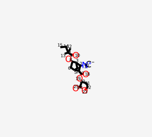 [C-]#[N+]C1C2CC(CC2OC(=O)C(C)(C)CC)C1C(=O)OC1CCOC1=O